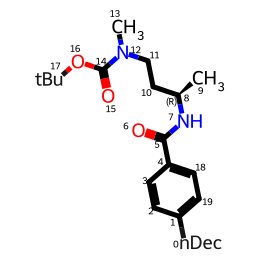 CCCCCCCCCCc1ccc(C(=O)N[C@H](C)CCN(C)C(=O)OC(C)(C)C)cc1